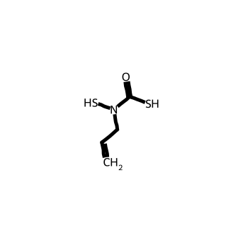 C=CCN(S)C(=O)S